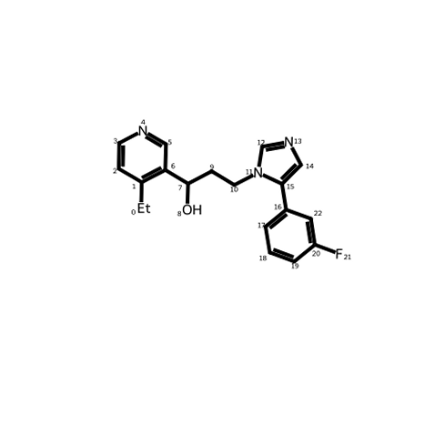 CCc1ccncc1C(O)CCn1cncc1-c1cccc(F)c1